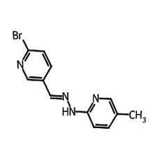 Cc1ccc(NN=Cc2ccc(Br)nc2)nc1